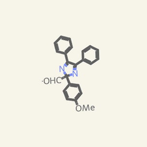 COc1ccc(C2([C]=O)N=C(c3ccccc3)C(c3ccccc3)=N2)cc1